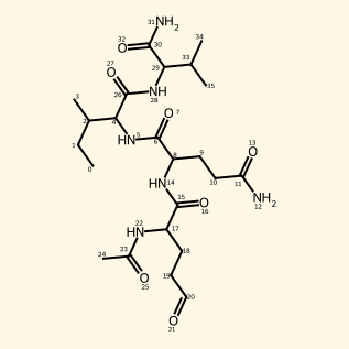 CCC(C)C(NC(=O)C(CCC(N)=O)NC(=O)C(CCC=O)NC(C)=O)C(=O)NC(C(N)=O)C(C)C